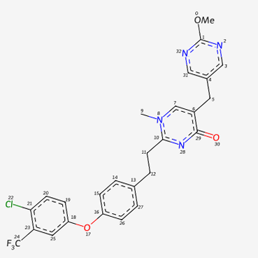 COc1ncc(Cc2cn(C)c(CCc3ccc(Oc4ccc(Cl)c(C(F)(F)F)c4)cc3)nc2=O)cn1